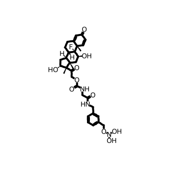 C[C@]12C=CC(=O)C=C1CC[C@H]1[C@@H]3C[C@@H](O)[C@@](C)(C(=O)COC(=O)NCC(=O)NCc4cccc(CON(O)O)c4)[C@@]3(C)C[C@H](O)[C@@]12F